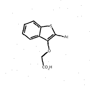 CC(=O)c1sc2ccccc2c1OCC(=O)O